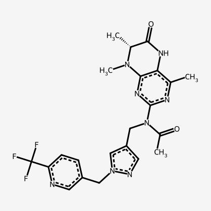 CC(=O)N(Cc1cnn(Cc2ccc(C(F)(F)F)nc2)c1)c1nc(C)c2c(n1)N(C)[C@H](C)C(=O)N2